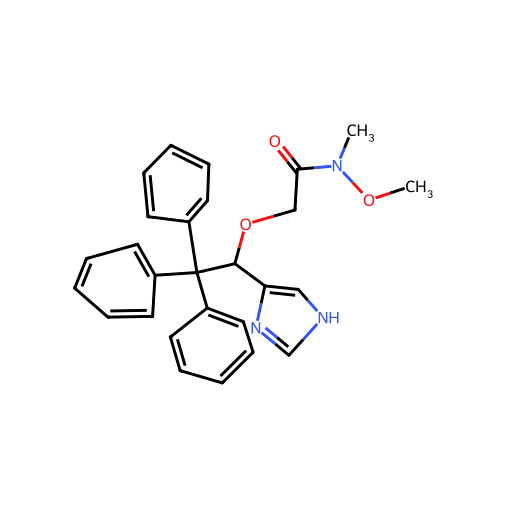 CON(C)C(=O)COC(c1c[nH]cn1)C(c1ccccc1)(c1ccccc1)c1ccccc1